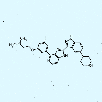 CN(C)CCOc1cc(F)cc(-c2nccc3[nH]c(-c4n[nH]c5ccc(C6CCNCC6)cc45)nc23)c1